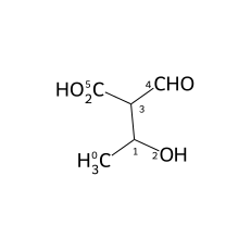 CC(O)C(C=O)C(=O)O